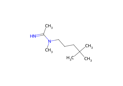 CC(=N)N(C)CCCC(C)(C)C